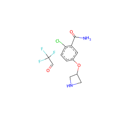 NC(=O)c1cc(OC2CNC2)ccc1Cl.O=CC(F)(F)F